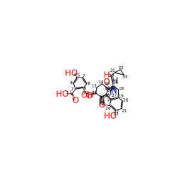 O=C(O)c1cc(O)ccc1O.O=C1CC[C@@]2(O)[C@H]3Cc4ccc(O)c5c4[C@@]2(CCN3CC2CC2)[C@H]1O5